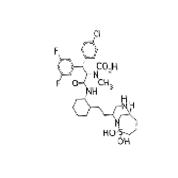 CN(C(=O)O)[C@H](C(=O)N[C@H]1CCCC[C@@H]1CC[C@H]1CN[C@@H]2CCCS(O)(O)N1C2)[C@@H](c1ccc(Cl)cc1)c1cc(F)cc(F)c1